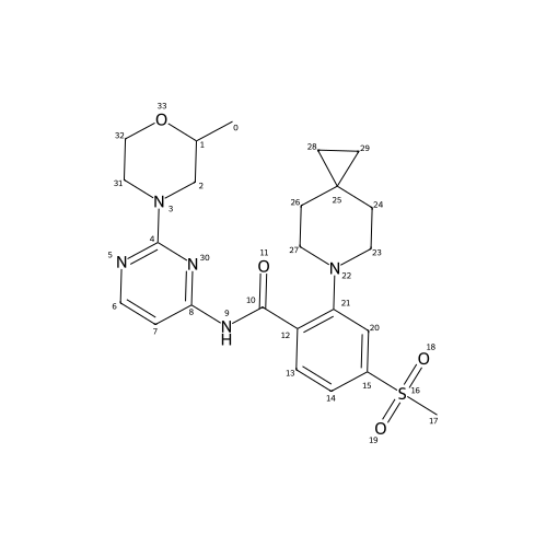 CC1CN(c2nccc(NC(=O)c3ccc(S(C)(=O)=O)cc3N3CCC4(CC3)CC4)n2)CCO1